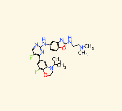 CC(C)N1CCOc2c(F)cc(-c3nc(Nc4ccc5oc(NCCN(C)C)nc5c4)ncc3F)cc21